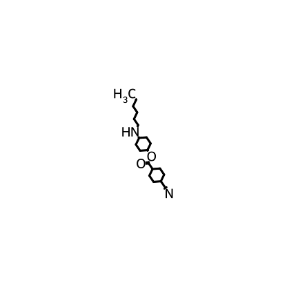 CCCCCCNC1CCC(OC(=O)C2CCC(C#N)CC2)CC1